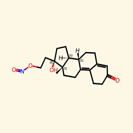 C[C@]12CCC3=C4CCC(=O)C=C4CC[C@H]3[C@@H]1CC[C@@]2(O)CCON=O